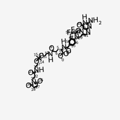 COC(=O)[C@H](CCC(=O)NCCOC(C)(C)OCCNC(=O)CCN1C(=O)C=CC1=O)NC(=O)c1ccc(N(Cc2cnc3nc(N)[nH]c(=O)c3n2)C(=O)C(F)(F)F)cc1